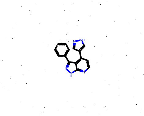 c1ccc(-c2n[nH]c3nccc(-c4cn[nH]c4)c23)cc1